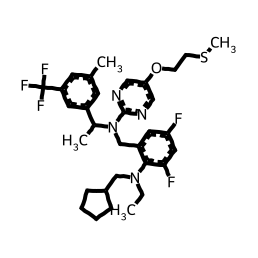 CCN(CC1CCCC1)c1c(F)cc(F)cc1CN(c1ncc(OCCSC)cn1)C(C)c1cc(C)cc(C(F)(F)F)c1